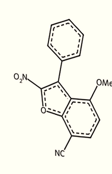 COc1ccc(C#N)c2oc([N+](=O)[O-])c(-c3ccccc3)c12